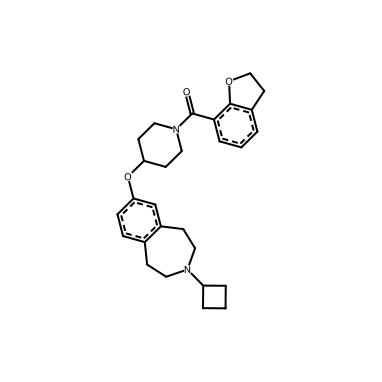 O=C(c1cccc2c1OCC2)N1CCC(Oc2ccc3c(c2)CCN(C2CCC2)CC3)CC1